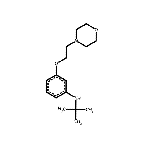 CC(C)(C)Nc1cccc(OCCN2CCOCC2)c1